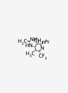 C=C(N)Nc1c(C)c(CCC)nc(C(F)(F)F)c1C